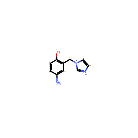 Nc1ccc(O)c(Cn2ccnc2)c1